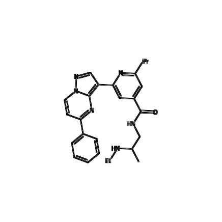 CCNC(C)CNC(=O)c1cc(-c2cnn3ccc(-c4ccccc4)nc23)nc(C(C)C)c1